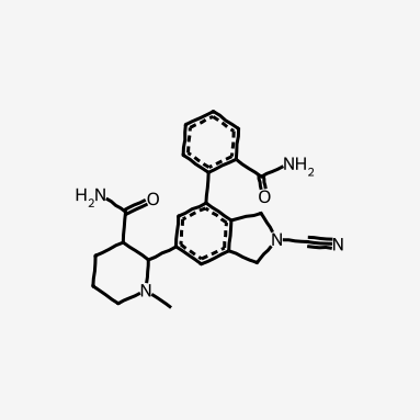 CN1CCCC(C(N)=O)C1c1cc2c(c(-c3ccccc3C(N)=O)c1)CN(C#N)C2